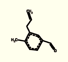 C=CCc1cc(C=O)ccc1C